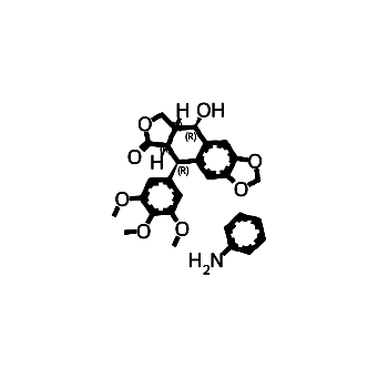 COc1cc([C@@H]2c3cc4c(cc3[C@H](O)[C@H]3COC(=O)[C@H]23)OCO4)cc(OC)c1OC.Nc1ccccc1